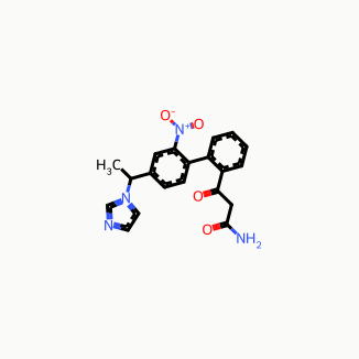 CC(c1ccc(-c2ccccc2C(=O)CC(N)=O)c([N+](=O)[O-])c1)n1ccnc1